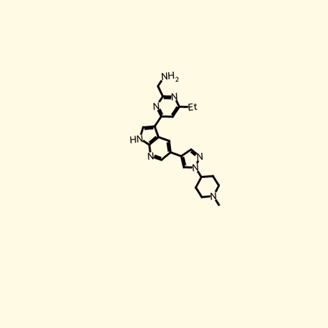 CCc1cc(-c2c[nH]c3ncc(-c4cnn(C5CCN(C)CC5)c4)cc23)nc(CN)n1